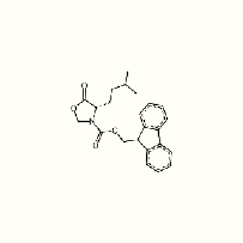 CC(C)CC[C@H]1C(=O)OCN1C(=O)OCC1c2ccccc2-c2ccccc21